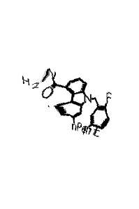 CCCCCc1c[c]c2c3c(C(N)=O)cccc3n(Cc3cc(F)ccc3F)c2c1